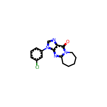 O=c1c2ncn(-c3cccc(Cl)c3)c2nc2n1CCCCC2